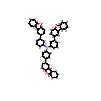 c1cc(-c2ccc3oc4ccccc4c3c2)cc(N(c2ccc(-c3ccc4oc5ccccc5c4c3)cc2)c2cccc(-c3ccc4oc5ccccc5c4c3)c2)c1